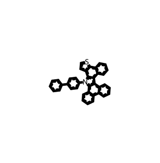 c1ccc(-c2ccc(-n3c4c5ccccc5c5ccccc5c4c4c5ccccc5c5sccc5c43)cc2)cc1